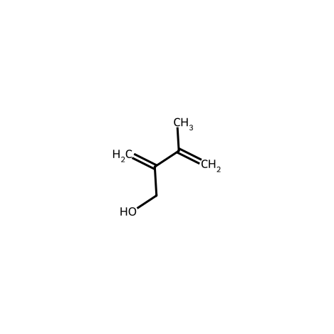 C=C(C)C(=C)CO